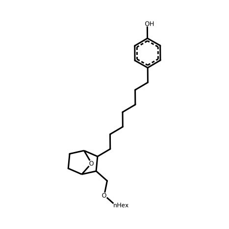 CCCCCCOCC1C2CCC(O2)C1CCCCCCCc1ccc(O)cc1